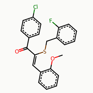 COc1ccccc1C=C(SCc1ccccc1F)C(=O)c1ccc(Cl)cc1